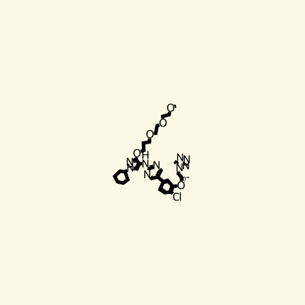 COCCOCCOCCCOc1nn(C2CCCCC2)cc1Nc1ncc(-c2ccc(Cl)c(O[C@@H](C)Cn3cnnn3)c2)cn1